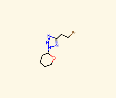 BrCCc1nnn(C2CCCCO2)n1